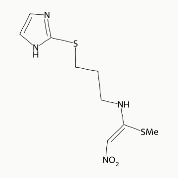 CSC(=C[N+](=O)[O-])NCCCSc1ncc[nH]1